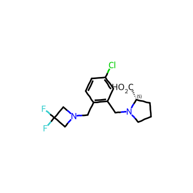 O=C(O)[C@@H]1CCCN1Cc1cc(Cl)ccc1CN1CC(F)(F)C1